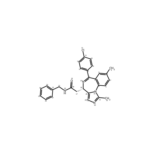 Cc1ccc2c(c1)C(c1ccc(Cl)cc1)=N[C@@H](CC(=O)NCc1ccccc1)c1nnc(C)n1-2